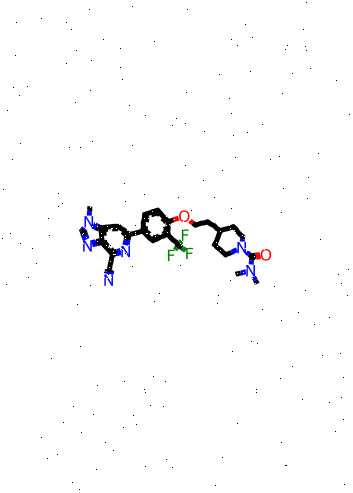 CN(C)C(=O)N1CCC(CCOc2ccc(-c3cc4c(ncn4C)c(C#N)n3)cc2C(F)(F)F)CC1